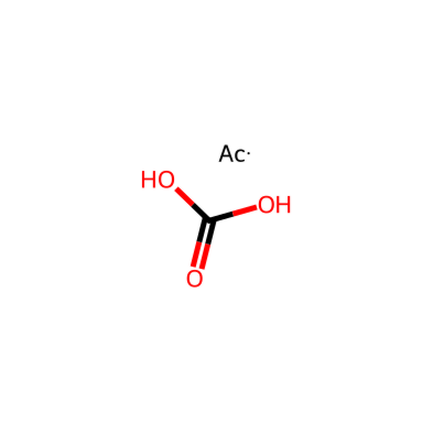 O=C(O)O.[Ac]